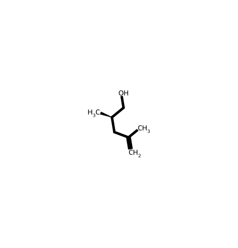 C=C(C)C[C@@H](C)CO